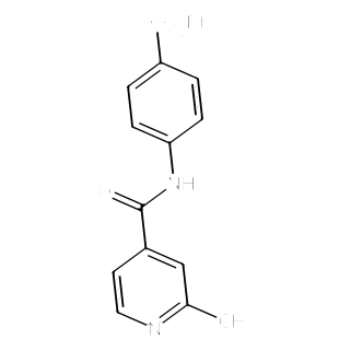 CCOC(=O)c1ccc(NC(=O)c2ccnc(C)c2)cc1